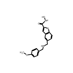 COc1ccc(CNCc2ccc3sc(C(=O)NO)cc3c2)cc1